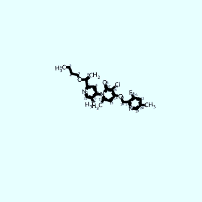 C=C(OCCCC)c1cc(-n2c(C)cc(OCc3ncc(C)cc3F)c(Cl)c2=O)c(C)cn1